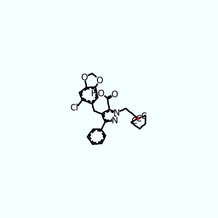 O=C(O)c1c(Cc2cc3c(cc2Cl)OCO3)c(-c2ccccc2)nn1CC1CC2CCC1CC2